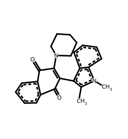 Cc1c(C2=C(N3CCCCC3)C(=O)c3ccccc3C2=O)c2ccccc2n1C